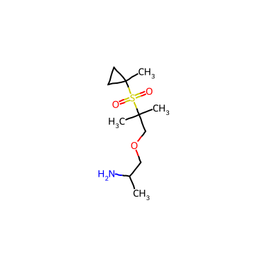 CC(N)COCC(C)(C)S(=O)(=O)C1(C)CC1